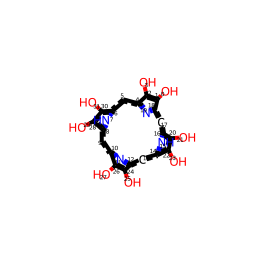 OC1=C(O)c2cc3[nH]c(cc4nc(cc5[nH]c(cc1n2)c(O)c5O)C(O)=C4O)c(O)c3O